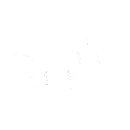 N#CCn1cnc(C=O)c1NC(=O)c1cc(F)cc(C(F)(F)F)c1